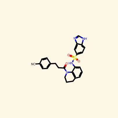 N#Cc1ccc(CCC(=O)N2CCCc3cccc(NS(=O)(=O)c4ccc5[nH]cnc5c4)c32)cc1